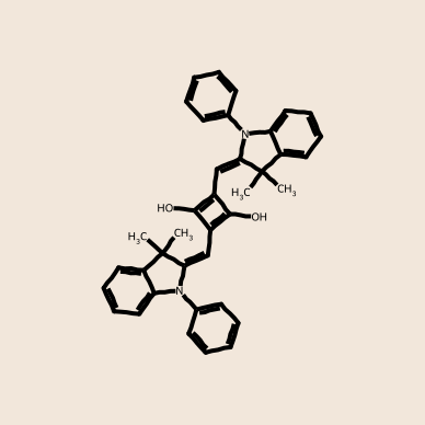 CC1(C)C(=CC2=C(O)C(C=C3N(c4ccccc4)c4ccccc4C3(C)C)=C2O)N(c2ccccc2)c2ccccc21